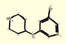 Brc1cncc(NC2CCNCC2)c1